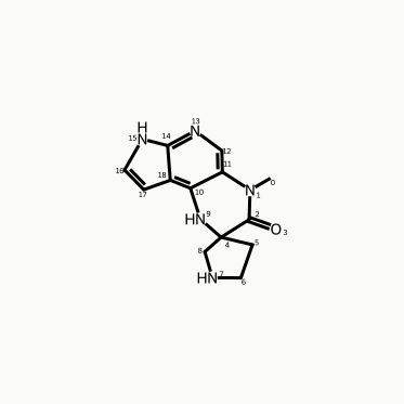 CN1C(=O)C2(CCNC2)Nc2c1cnc1[nH]ccc21